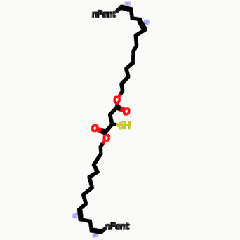 CCCCC/C=C\C/C=C\CCCCCCCCOC(=O)CC(S)C(=O)OCCCCCCCC/C=C\C/C=C\CCCCC